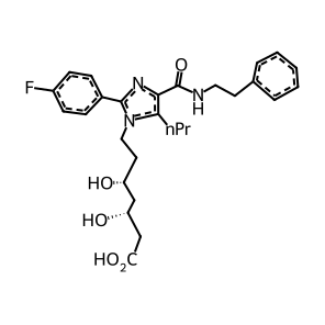 CCCc1c(C(=O)NCCc2ccccc2)nc(-c2ccc(F)cc2)n1CC[C@@H](O)C[C@@H](O)CC(=O)O